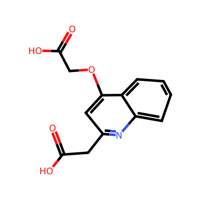 O=C(O)COc1cc(CC(=O)O)nc2ccccc12